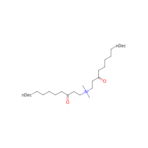 CCCCCCCCCCCCCCCC(=O)CC[N+](C)(C)CCC(=O)CCCCCCCCCCCCCCC